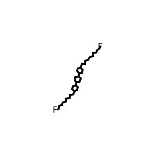 FCCCCCCCCCCC1CCC(C2CCC(C3CCC(CCCCCCCCCF)CC3)CC2)CC1